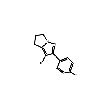 Fc1ccc(-c2nn3c(c2Br)CCC3)cc1